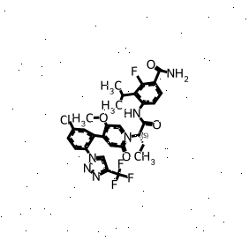 CC[C@@H](C(=O)Nc1ccc(C(N)=O)c(F)c1C(C)C)n1cc(OC)c(-c2cc(Cl)ccc2-n2cc(C(F)(F)F)nn2)cc1=O